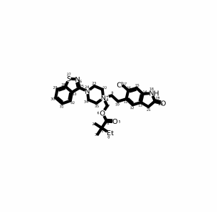 CCC(C)(C)C(=O)OC[N+]1(CCc2cc3c(cc2Cl)NC(=O)C3)CCN(c2nsc3ccccc23)CC1